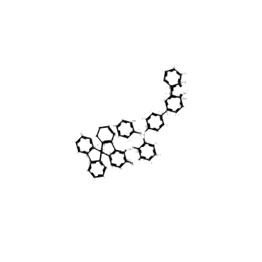 C1=CC2=C(CC1)C1(c3ccccc3-c3ccccc31)c1ccc3c(c12)Oc1c(cccc1N(c1ccccc1)c1ccc(-c2ccc4oc5ccccc5c4c2)cc1)O3